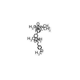 COc1ccc(CCC(=O)NC2CC(c3ccc4c(n3)n(C)c(=O)n4CC(C)(C)C)CCC2(C)C)cc1